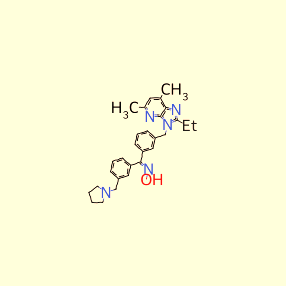 CCc1nc2c(C)cc(C)nc2n1Cc1cccc(C(=NO)c2cccc(CN3CCCC3)c2)c1